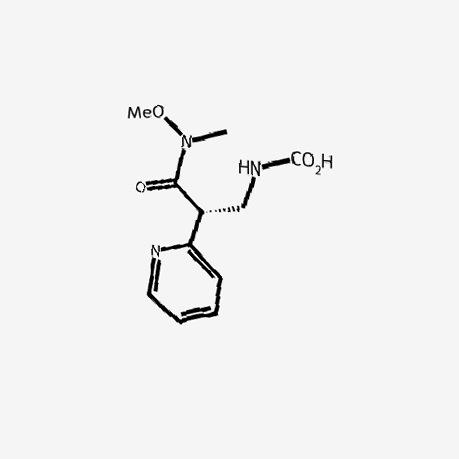 CON(C)C(=O)[C@H](CNC(=O)O)c1ccccn1